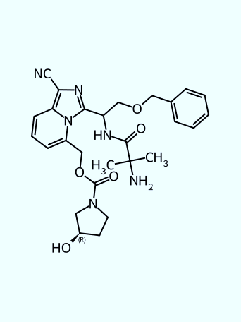 CC(C)(N)C(=O)NC(COCc1ccccc1)c1nc(C#N)c2cccc(COC(=O)N3CC[C@@H](O)C3)n12